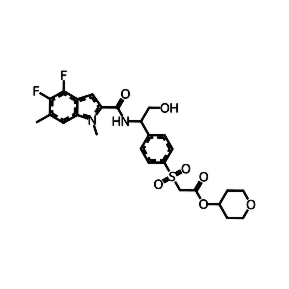 Cc1cc2c(cc(C(=O)NC(CO)c3ccc(S(=O)(=O)CC(=O)OC4CCOCC4)cc3)n2C)c(F)c1F